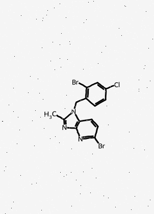 Cc1nc2nc(Br)ccc2n1Cc1ccc(Cl)cc1Br